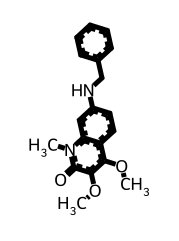 COc1c(OC)c2ccc(NCc3ccccc3)cc2n(C)c1=O